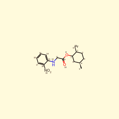 CC(C)C1CC[C@@H](C)CC1OC(=O)CNc1ccccc1[N+](=O)[O-]